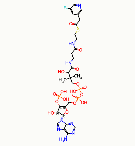 CC(C)(COP(=O)(O)OP(=O)(O)OC[C@H]1O[C@@H](n2cnc3c(N)ncnc32)[C@H](O)[C@@H]1OP(=O)(O)O)C(O)C(=O)NCCC(=O)NCCSC(=O)Cc1cncc(F)c1